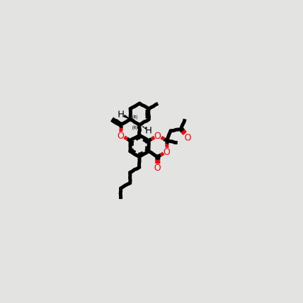 C=C1Oc2cc(CCCCC)c3c(c2[C@@H]2C=C(C)CC[C@@H]12)OC(C)(CC(C)=O)OC3=O